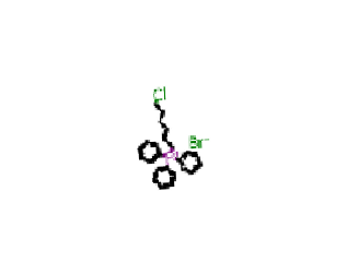 ClCCC/C=C/C[P+](c1ccccc1)(c1ccccc1)c1ccccc1.[Br-]